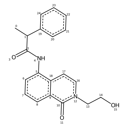 CC(C(=O)Nc1cccc2c(=O)n(CCO)ccc12)c1ccccc1